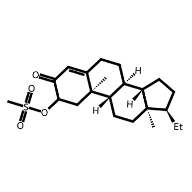 CC[C@@H]1CC[C@H]2[C@@H]3CCC4=CC(=O)C(OS(C)(=O)=O)C[C@]4(C)[C@H]3CC[C@]12C